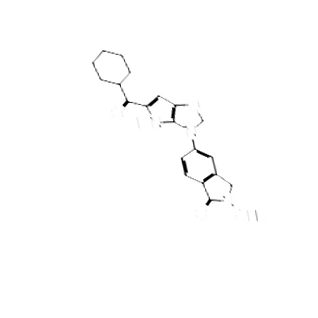 CN1Cc2cc(N3COc4cc(C(=O)C5CCCCC5)[nH]c43)ccc2C1=O